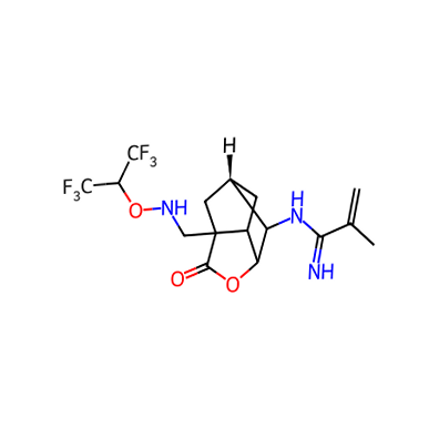 C=C(C)C(=N)NC1C2OC(=O)C3(CNOC(C(F)(F)F)C(F)(F)F)C[C@@H]1CC23